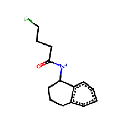 O=C(CCCCl)NC1CCCc2ccccc21